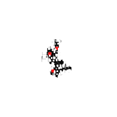 Cc1ccccc1C[C@H](NC(=O)[C@H](CCC(=O)OC(C)(C)C)NC(=O)[C@H](CC(=O)OC(C)(C)C)NC(=O)CCC(=O)OC(C)(C)C)C(=O)N[C@H](C(=O)N[C@@H](CC(C)C)C(=O)NC(CC(F)(F)F)C(=O)C(=O)NCc1ccc([N+](=O)[O-])cc1)C(C)(C)C